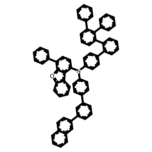 c1ccc(-c2cccc(-c3ccccc3-c3ccc(N(c4ccc(-c5cccc(-c6ccc7ccccc7c6)c5)cc4)c4ccc(-c5ccccc5)c5oc6ccccc6c45)cc3)c2-c2ccccc2)cc1